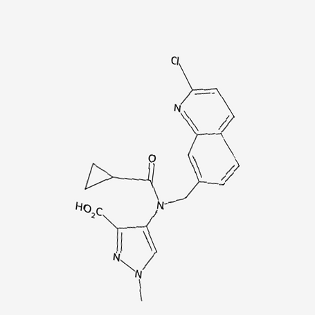 Cn1cc(N(Cc2ccc3ccc(Cl)nc3c2)C(=O)C2CC2)c(C(=O)O)n1